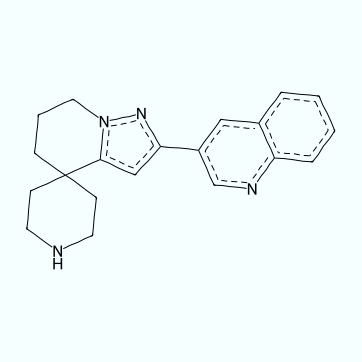 c1ccc2ncc(-c3cc4n(n3)CCCC43CCNCC3)cc2c1